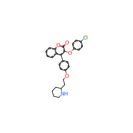 O=c1oc2ccccc2c(-c2ccc(OCCC3CCCCN3)cc2)c1Oc1ccc(Cl)cc1